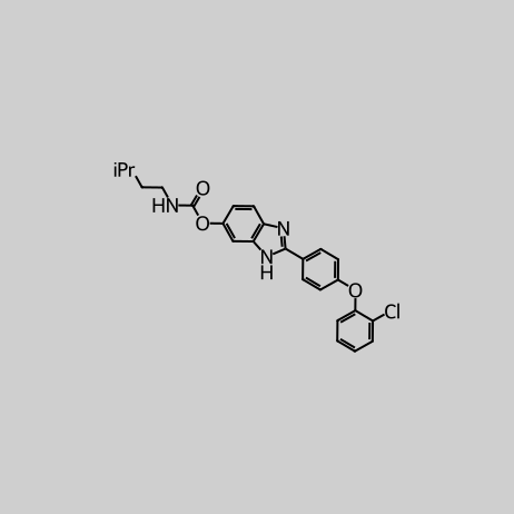 CC(C)CCNC(=O)Oc1ccc2nc(-c3ccc(Oc4ccccc4Cl)cc3)[nH]c2c1